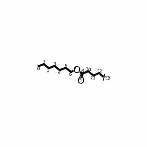 CCCCCCCOC(=O)CCCI